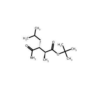 CC(C)C[C@@H](C(N)=O)[C@H](C)C(=O)OC(C)(C)C